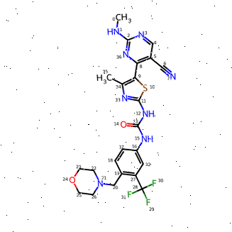 CNc1ncc(C#N)c(-c2sc(NC(=O)Nc3ccc(CN4CCOCC4)c(C(F)(F)F)c3)nc2C)n1